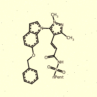 CCCCCS(=O)(=O)NC(=O)C=Cc1c(C)nn(C)c1-n1ccc2ccc(OCc3ccccc3)cc21